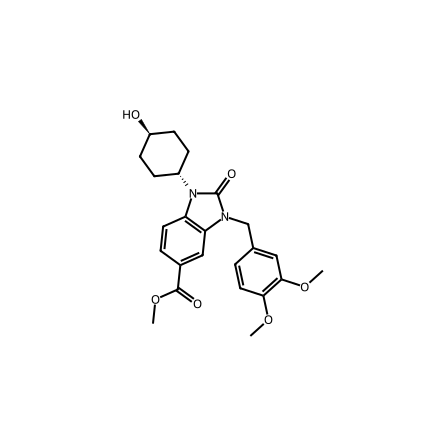 COC(=O)c1ccc2c(c1)n(Cc1ccc(OC)c(OC)c1)c(=O)n2[C@H]1CC[C@H](O)CC1